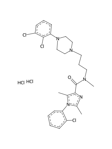 Cc1nc(C(=O)N(C)CCCN2CCN(c3cccc(Cl)c3Cl)CC2)c(C)n1-c1ccccc1Cl.Cl.Cl